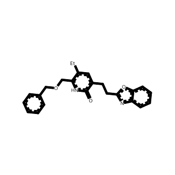 CCc1cc(CCc2nc3ccccc3o2)c(=O)[nH]c1COCc1ccccc1